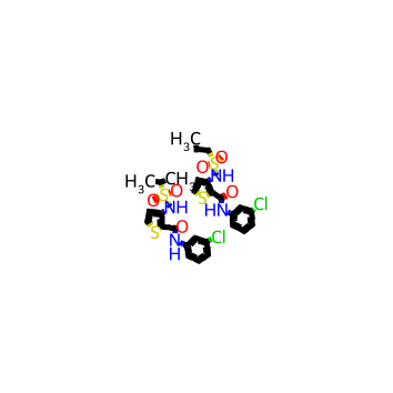 CC(C)S(=O)(=O)Nc1ccsc1C(=O)Nc1cccc(Cl)c1.CCCS(=O)(=O)Nc1ccsc1C(=O)Nc1cccc(Cl)c1